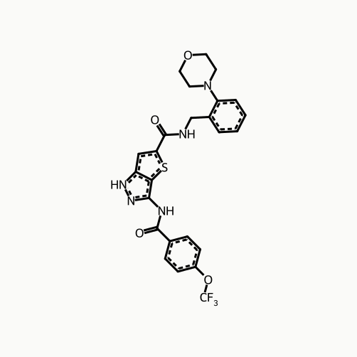 O=C(Nc1n[nH]c2cc(C(=O)NCc3ccccc3N3CCOCC3)sc12)c1ccc(OC(F)(F)F)cc1